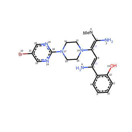 CN/C(N)=C(/C=C(\N)c1ccccc1O)N1CCN(c2ncc(Br)cn2)CC1